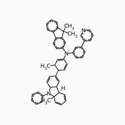 CC1C=C(N(c2cccc(-c3cccnc3)c2)c2ccc3c(c2)C(C)(C)c2ccccc2-3)C=CC1C1=CC2C(C=C1)N(c1ccccc1)C1(C)C=CC=C[C@H]21